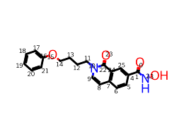 O=C(NO)c1ccc2ccn(CCCCOc3ccccc3)c(=O)c2c1